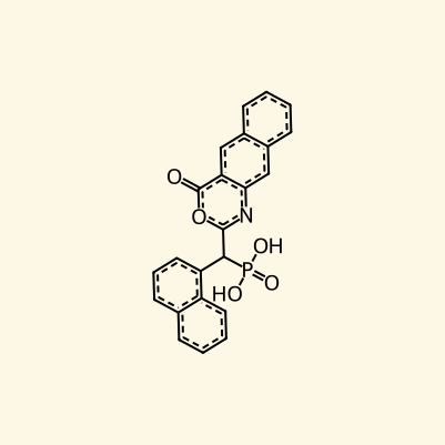 O=c1oc(C(c2cccc3ccccc23)P(=O)(O)O)nc2cc3ccccc3cc12